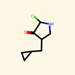 O=C1C(CC2CC2)CNC1Cl